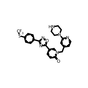 O=c1ccc(-c2nc(-c3ccc(SC(F)(F)F)cc3)no2)cn1Cc1ccnc(N2CCNCC2)c1